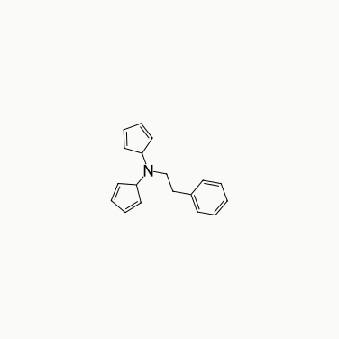 C1=CC(N(CCc2ccccc2)C2C=CC=C2)C=C1